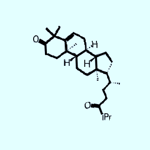 CC(C)C(=O)CC[C@@H](C)[C@H]1CC[C@H]2[C@@H]3CC=C4C(C)(C)C(=O)CC[C@]4(C)[C@H]3CC[C@]12C